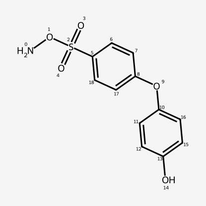 NOS(=O)(=O)c1ccc(Oc2ccc(O)cc2)cc1